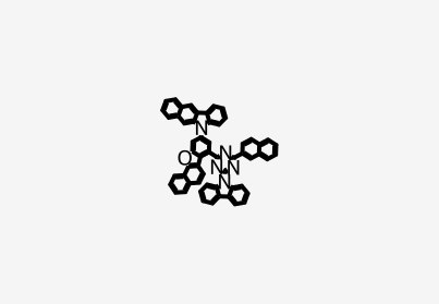 c1ccc2cc(-c3nc(-c4cc(-n5c6ccccc6c6cc7ccccc7cc65)cc5oc6c7ccccc7ccc6c45)nc(-n4c5ccccc5c5ccccc54)n3)ccc2c1